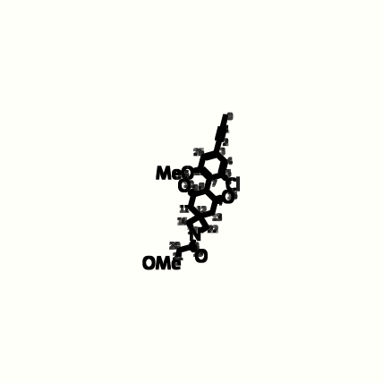 CC#Cc1cc(Cl)c(C2C(=O)CC3(CC2=O)CN(C(=O)COC)C3)c(OC)c1